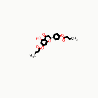 CCCC(=O)Oc1ccc([C@H]2CC(=O)c3c(O)cc(OC(=O)CCC)cc3O2)cc1